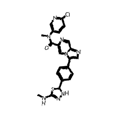 CNC1=NNC(c2ccc(-c3cnc4cnc(C(=O)N(C)c5ccc(Cl)nc5)cn34)cc2)S1